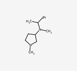 CC(C)C(C)N(C)C1CCN(C)C1